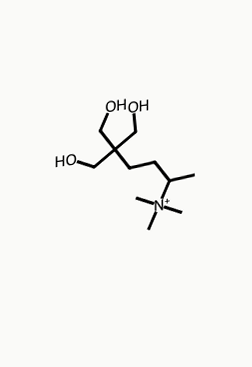 CC(CCC(CO)(CO)CO)[N+](C)(C)C